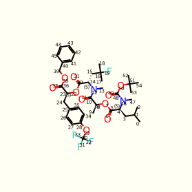 CC(C)C[C@@H](C(=O)O[C@@H](C)C(=O)N(C)[C@@H](CC(C)(C)F)C(=O)O[C@@H](Cc1ccc(OC(F)(F)F)cc1)C(=O)OCc1ccccc1)N(C)C(=O)OC(C)(C)C